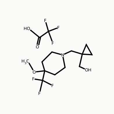 COC1(C(F)(F)F)CCN(CC2(CO)CC2)CC1.O=C(O)C(F)(F)F